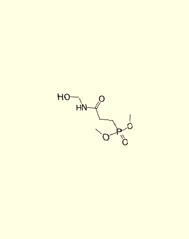 COP(=O)(CCC(=O)NCO)OC